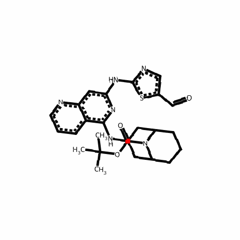 CC(C)(C)OC(=O)N1C2CCCC1CC(Nc1nc(Nc3ncc(C=O)s3)cc3ncccc13)C2